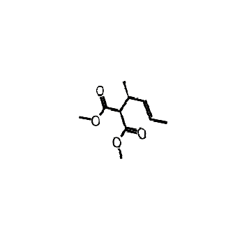 C/C=C/[C@H](C)C(C(=O)OC)C(=O)OC